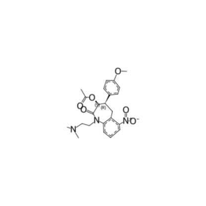 COc1ccc([C@H]2Cc3c(cccc3[N+](=O)[O-])N(CCN(C)C)C(=O)[C@H]2OC(C)=O)cc1